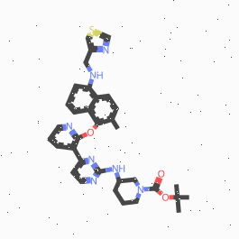 Cc1ccc2c(NCc3cscn3)cccc2c1Oc1ncccc1-c1ccnc(NC2CCCN(C(=O)OC(C)(C)C)C2)n1